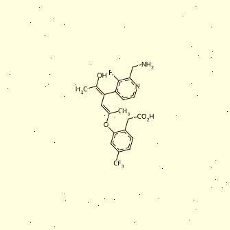 C/C(O)=C(\C=C(/C)Oc1cc(C(F)(F)F)ccc1CC(=O)O)c1ccnc(CN)c1F